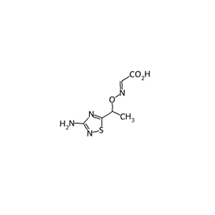 CC(ON=CC(=O)O)c1nc(N)ns1